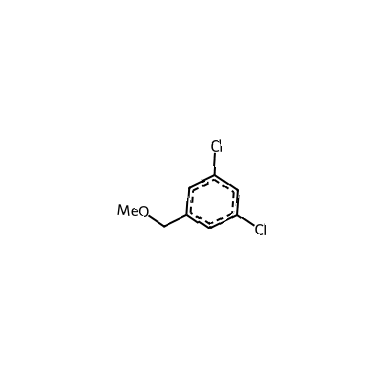 COCc1cc(Cl)cc(Cl)c1